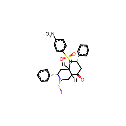 O=C1C[C@@H](c2ccccc2)N(S(=O)(=O)c2ccc([N+](=O)[O-])cc2)[C@H]2C[C@@H](c3ccccc3)N(SI)C[C@@H]12